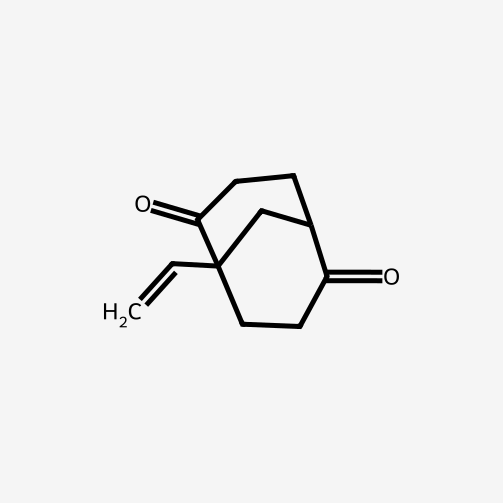 C=CC12CCC(=O)C(CCC1=O)C2